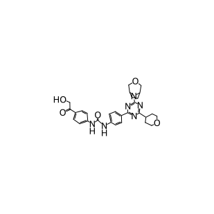 O=C(Nc1ccc(C(=O)CO)cc1)Nc1ccc(-c2nc(C3CCOCC3)nc(N3C4CCC3COC4)n2)cc1